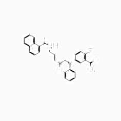 COC(=O)c1cc([C@H]2C[C@H](CCCN[C@H](C)c3cccc4ccccc34)Oc3ccccc32)ccc1F